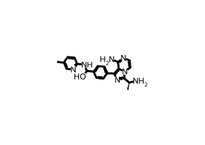 Cc1ccc(NC(O)c2ccc(-c3nc([C@H](C)N)n4ccnc(N)c34)cc2)nc1